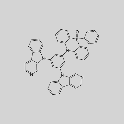 O=P1(c2ccccc2)c2ccccc2N(c2cc(-n3c4ccccc4c4ccncc43)cc(-n3c4ccccc4c4ccncc43)c2)c2ccccc21